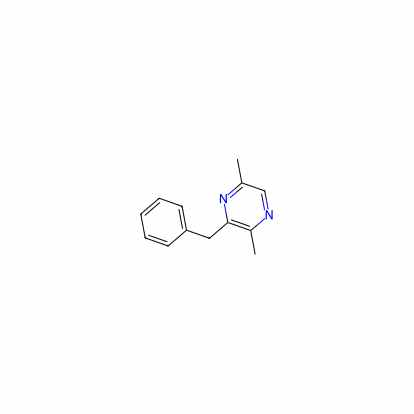 Cc1cnc(C)c(Cc2ccccc2)n1